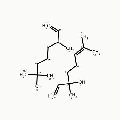 C=CC(C)(O)CCC=C(C)C.C=CC(C)CCCC(C)(C)O